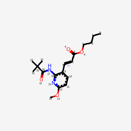 CCCCOC(=O)/C=C/c1ccc(OC)nc1NC(=O)C(C)(C)C